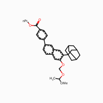 CCCOC(=O)c1ccc(-c2ccc3cc(OCOC(C)OC)c(C45CC6CC(CC(C6)C4)C5)cc3c2)cc1